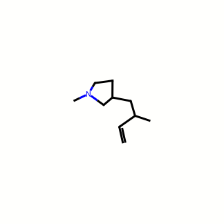 C=CC(C)CC1CCN(C)C1